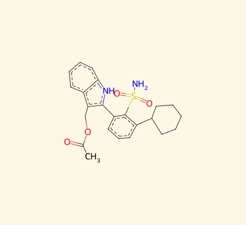 CC(=O)OCc1c(-c2cccc(C3CCCCC3)c2S(N)(=O)=O)[nH]c2ccccc12